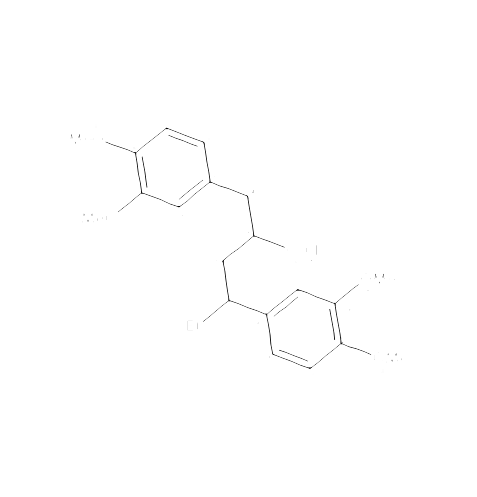 CCC(CC(Cc1ccc(OC)c(OC)c1)C(=O)O)c1ccc(OC)c(OC)c1